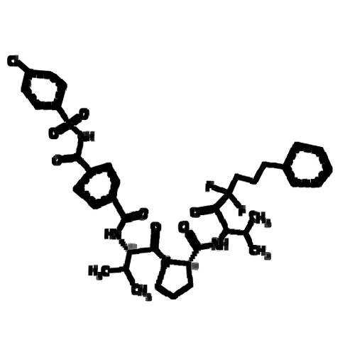 CC(C)C(NC(=O)[C@@H]1CCCN1C(=O)[C@@H](NC(=O)c1ccc(C(=O)NS(=O)(=O)c2ccc(Cl)cc2)cc1)C(C)C)C(=O)C(F)(F)CCCc1ccccc1